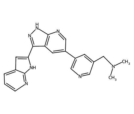 CN(C)Cc1cncc(-c2cnc3[nH]nc(-c4cc5cccnc5[nH]4)c3c2)c1